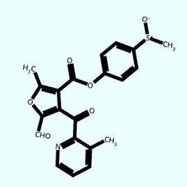 Cc1cccnc1C(=O)c1c(C=O)oc(C)c1C(=O)Oc1ccc([S+](C)[O-])cc1